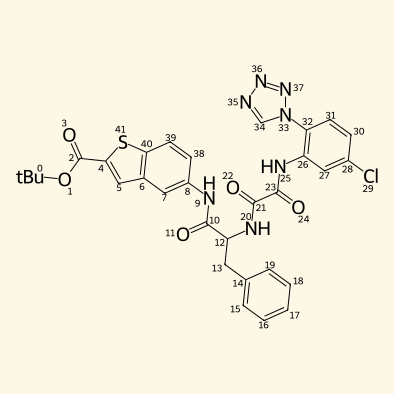 CC(C)(C)OC(=O)c1cc2cc(NC(=O)C(Cc3ccccc3)NC(=O)C(=O)Nc3cc(Cl)ccc3-n3cnnn3)ccc2s1